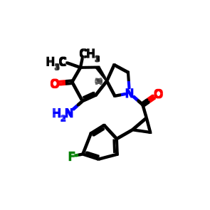 CC1(C)C[C@@]2(C=C(N)C1=O)CCN(C(=O)C1CC1c1ccc(F)cc1)C2